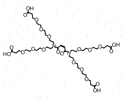 O=C(O)CCOCCOCCOCCN(CCOCCOCCOCCC(=O)O)C(=O)/C=C\C(=O)N(CCOCCOCCOCCC(=O)O)CCOCCOCCOCCC(=O)O